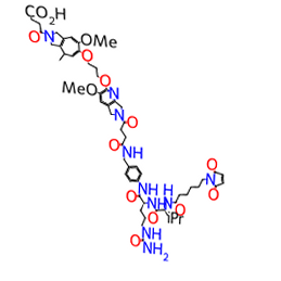 COC1=CC2=C(CN(C(=O)CCC(=O)O)C2)C(C)C=C1OCCCOc1nc2c(cc1OC)CN(C(=O)CCC(=O)NCc1ccc(NC(=O)[C@H](CCCNC(N)=O)NC(=O)[C@@H](NC(=O)CCCCCN3C(=O)C=CC3=O)C(C)C)cc1)C2